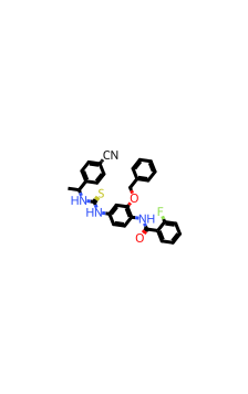 CC(NC(=S)Nc1ccc(NC(=O)c2ccccc2F)c(OCc2ccccc2)c1)c1ccc(C#N)cc1